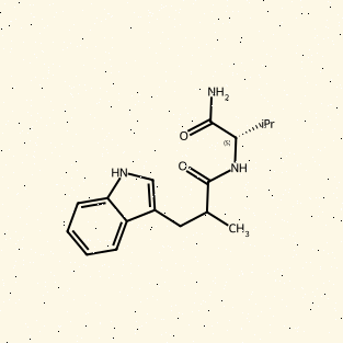 CC(Cc1c[nH]c2ccccc12)C(=O)N[C@H](C(N)=O)C(C)C